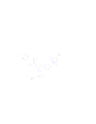 CC[C@H]1CC[C@H](C2CC=C(c3cnc(-c4ccc(CN(CC(=O)O)C(=O)[C@H](C)NC(=O)Cc5ccc(OC)cc5)cc4)nc3)CC2)CC1